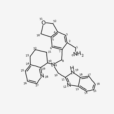 NCc1cc2c(cc1CN(Cc1nc3ccccc3[nH]1)C1CCCc3cccnc31)COC2